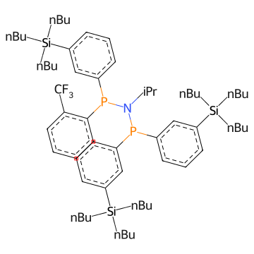 CCCC[Si](CCCC)(CCCC)c1cccc(P(c2cccc([Si](CCCC)(CCCC)CCCC)c2)N(C(C)C)P(c2cccc([Si](CCCC)(CCCC)CCCC)c2)c2ccccc2C(F)(F)F)c1